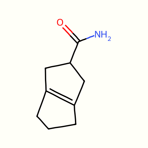 NC(=O)C1CC2=C(CCC2)C1